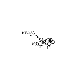 CCCCc1nc(SCCCCCC(=O)OCC)c(C(=O)OCC)n1Cc1cc2c(cc1Cl)OCO2